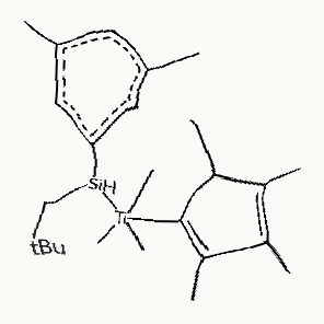 CC1=C(C)C(C)[C]([Ti]([CH3])([CH3])([CH3])[SiH](CC(C)(C)C)c2cc(C)cc(C)c2)=C1C